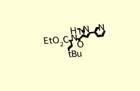 CCOC(=O)C(C=CC(C)(C)C)NC(=O)c1cc(-c2cccnc2)nn1C